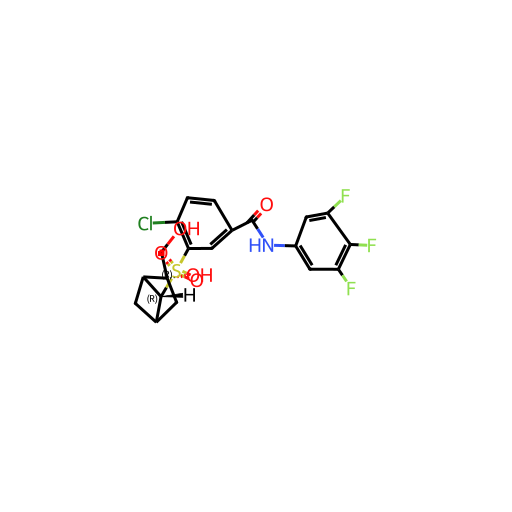 O=C(Nc1cc(F)c(F)c(F)c1)c1ccc(Cl)c(S(=O)(=O)[C@@H]2C3CC2[C@@](O)(CO)C3)c1